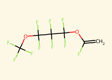 C=C(F)OC(F)(F)C(F)(F)C(F)(F)OC(F)(F)F